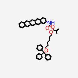 C=C(C)C(OCCCCCCOC(c1ccccc1)(c1ccccc1)c1ccccc1)OC(=O)Nc1ccc2cc3cc4cc5ccccc5cc4cc3cc2c1